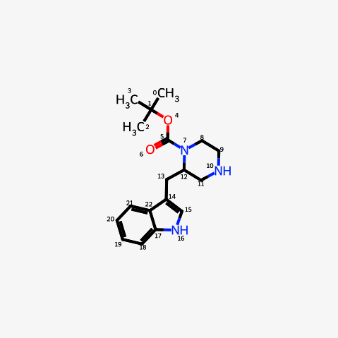 CC(C)(C)OC(=O)N1CCNCC1Cc1c[nH]c2ccccc12